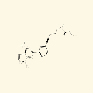 CN(CCCC#Cc1cccc(-c2nc(N(C)C)c3ccnc(N)c3n2)c1)C(=O)CO